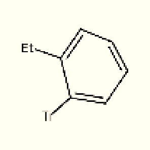 CCc1cccc[c]1[Ti]